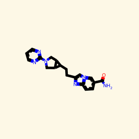 NC(=O)c1ccc2nc(CCC3C4CN(c5ncccn5)CC34)cn2c1